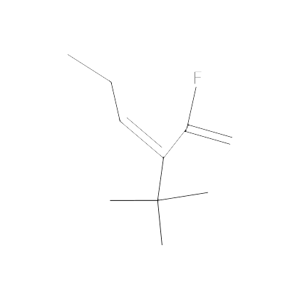 C=C(F)/C(=C\CC)C(C)(C)C